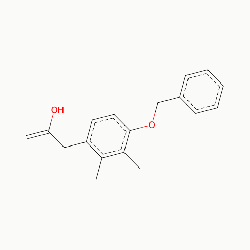 C=C(O)Cc1ccc(OCc2ccccc2)c(C)c1C